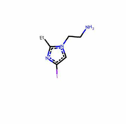 CCc1nc(I)cn1CCN